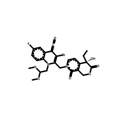 CC[C@@]1(O)C(=O)OCc2c1ccn(CC1=C(Br)C(=C=O)c3cc(F)ccc3N1CC(OC)OC)c2=O